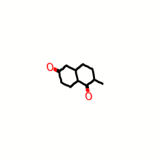 CC1CCC2CC(=O)CCC2C1=O